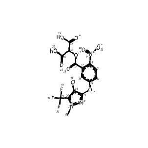 Cn1nc(Oc2ccc([N+](=O)[O-])c(C(=O)OC(C(=O)O)C(=O)O)c2)c(Cl)c1C(F)(F)F